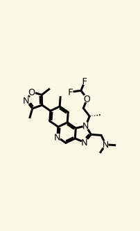 Cc1cc2c(cc1-c1c(C)noc1C)ncc1nc(CN(C)C)n([C@@H](C)COC(F)F)c12